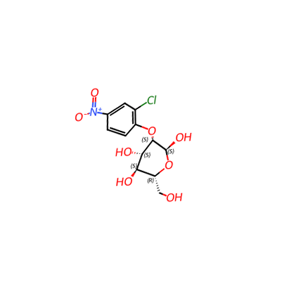 O=[N+]([O-])c1ccc(O[C@H]2[C@@H](O)[C@H](O)[C@@H](CO)O[C@@H]2O)c(Cl)c1